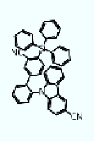 N#Cc1ccc2c(c1)c1ccccc1n2-c1ccccc1-c1ccc([Si](c2ccccc2)(c2ccccc2)c2ccccc2)c(C#N)c1